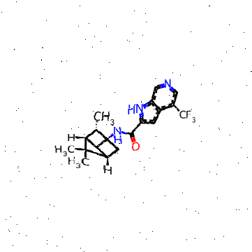 C[C@H]1[C@@H]2C3[C@H](C[C@]31NC(=O)c1cc3c(C(F)(F)F)cncc3[nH]1)C2(C)C